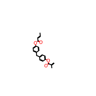 C=C(C)C(=O)Oc1ccc(Cc2ccc(OC(=O)C=CC)cc2)cc1